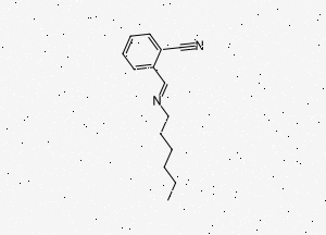 CCCCCC/N=C/c1ccccc1C#N